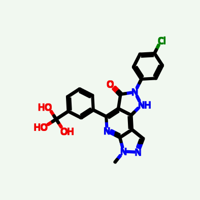 Cn1ncc2c3[nH]n(-c4ccc(Cl)cc4)c(=O)c3c(-c3cccc(C(O)(O)O)c3)nc21